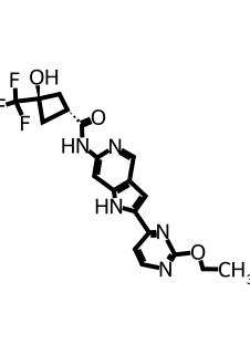 CCOc1nccc(-c2cc3cnc(NC(=O)[C@H]4C[C@@](O)(C(F)(F)F)C4)cc3[nH]2)n1